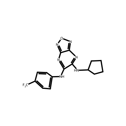 FC(F)(F)c1ccc(Nc2nc3nonc3nc2NC2CCCC2)cc1